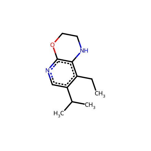 CCc1c(C(C)C)cnc2c1NCCO2